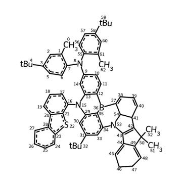 Cc1cc(C(C)(C)C)ccc1N(c1ccc2c(c1)N(c1cccc3c1sc1ccccc13)c1cc(C(C)(C)C)cc3c1B2C1=CC=CC2C4=C(C5=CCCC=C5C4(C)C)N3C12)c1ccc(C(C)(C)C)cc1C